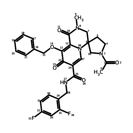 CC(=O)N1CCC2(CN(C)C(=O)c3c(OCc4ccccc4)c(=O)c(C(=O)NCc4ccc(F)cc4F)cn32)C1